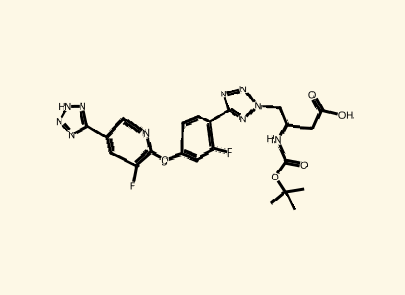 CC(C)(C)OC(=O)NC(CC(=O)O)Cn1nnc(-c2ccc(Oc3ncc(-c4nn[nH]n4)cc3F)cc2F)n1